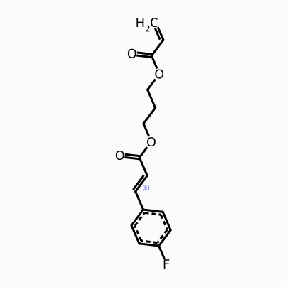 C=CC(=O)OCCCOC(=O)/C=C/c1ccc(F)cc1